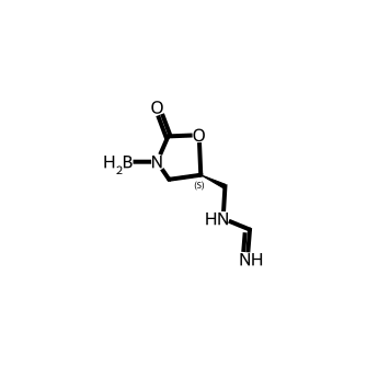 BN1C[C@H](CNC=N)OC1=O